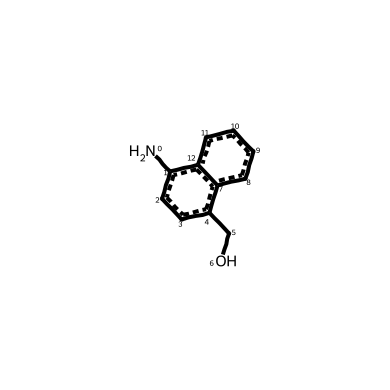 Nc1ccc(CO)c2ccccc12